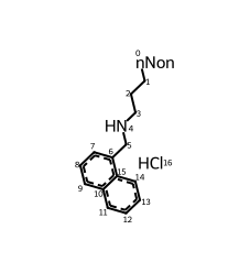 CCCCCCCCCCCCNCc1cccc2ccccc12.Cl